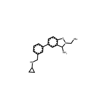 CC(C)(C)CN1Oc2ccc(-c3cccc(CNC4CC4)c3)cc2C1N